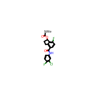 CNC(=O)OC1CCc2c(C(=O)Nc3ccc(F)c(Cl)c3)ccc(F)c21